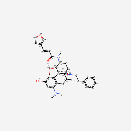 CN(C)c1cc(O)c2c3c1C[C@@H]1[C@@H]4CC[C@H](N(C)C(=O)/C=C/c5ccoc5)[C@H](O2)[C@]34CCN1CCc1ccccc1